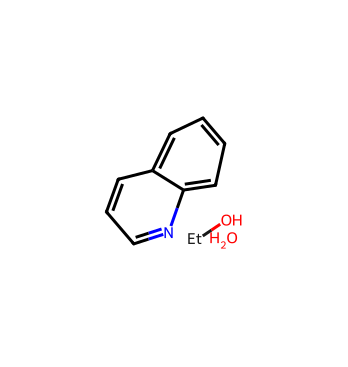 CCO.O.c1ccc2ncccc2c1